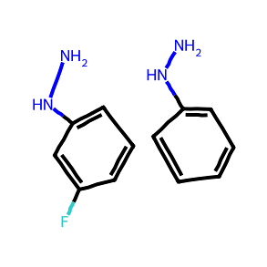 NNc1cccc(F)c1.NNc1ccccc1